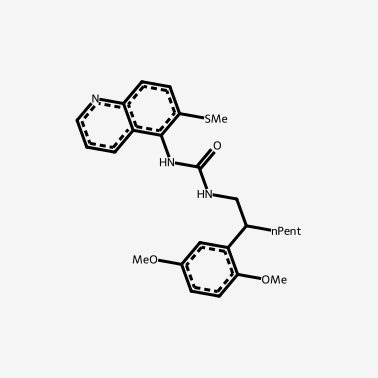 CCCCCC(CNC(=O)Nc1c(SC)ccc2ncccc12)c1cc(OC)ccc1OC